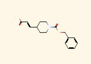 O=C(O)C=CC1CCN(C(=O)OCc2ccccc2)CC1